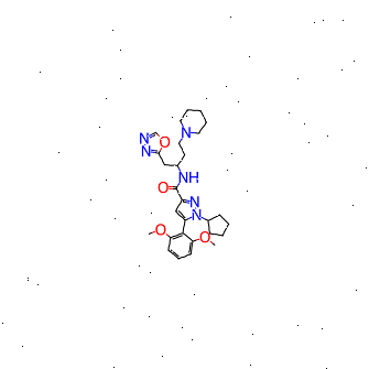 COc1cccc(OC)c1-c1cc(C(=O)NC(CCN2CCCCC2)Cc2nnco2)nn1C1CCCC1